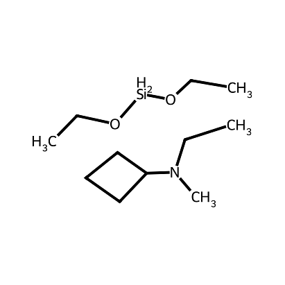 CCN(C)C1CCC1.CCO[SiH2]OCC